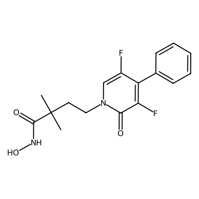 CC(C)(CCn1cc(F)c(-c2ccccc2)c(F)c1=O)C(=O)NO